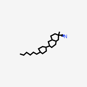 CCCCCCC1CCC(C2CCC3CC(C)(C#N)CCC3C2)CC1